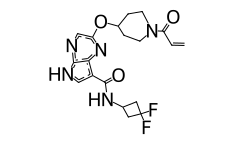 C=CC(=O)N1CCC(Oc2cnc3[nH]cc(C(=O)NC4CC(F)(F)C4)c3n2)CC1